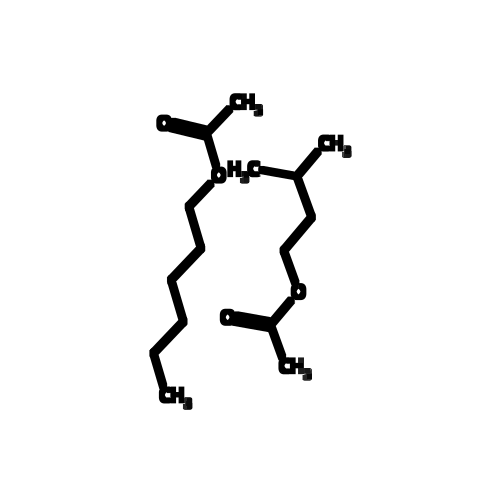 CC(=O)OCCC(C)C.CCCCCCOC(C)=O